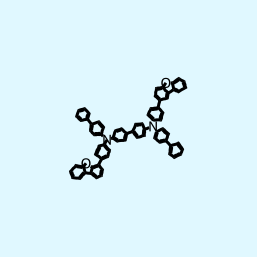 c1ccc(-c2ccc(N(c3ccc(-c4ccc(N(c5ccc(-c6ccccc6)cc5)c5ccc(-c6cccc7c6oc6ccccc67)cc5)cc4)cc3)c3ccc(-c4ccc5oc6ccccc6c5c4)cc3)cc2)cc1